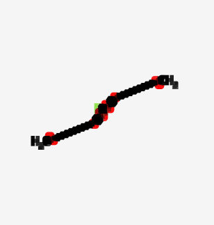 C=CC(=O)OCCCCCCCCCCCCCCCCCCCOc1ccc(C(=O)Oc2cc(F)c(OC(=O)c3ccc(OCCCCCCCCCCCCCCCCCCCOC(=O)C=C)cc3)c(F)c2F)cc1